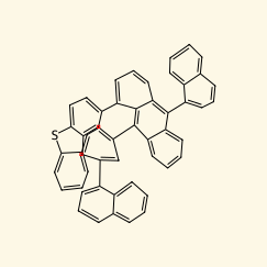 c1cc(-c2cccc3ccccc23)cc(-c2c3ccccc3c(-c3cccc4ccccc34)c3cccc(-c4ccc5sc6ccccc6c5c4)c23)c1